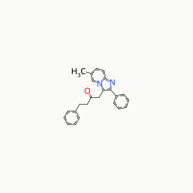 Cc1ccc2nc(-c3ccccc3)c(CC(=O)CCc3ccccc3)n2c1